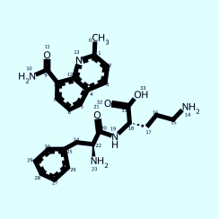 Cc1ccc2cccc(C(N)=O)c2n1.NCCC[C@H](NC(=O)[C@@H](N)Cc1ccccc1)C(=O)O